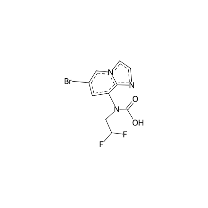 O=C(O)N(CC(F)F)c1cc(Br)cn2ccnc12